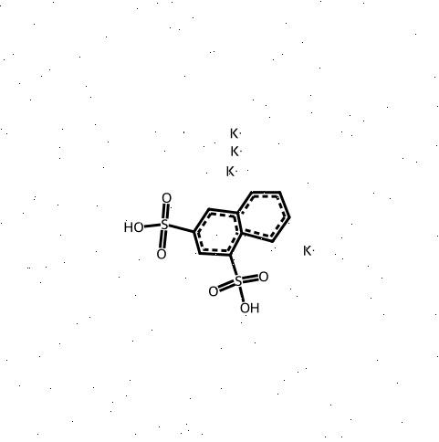 O=S(=O)(O)c1cc(S(=O)(=O)O)c2ccccc2c1.[K].[K].[K].[K]